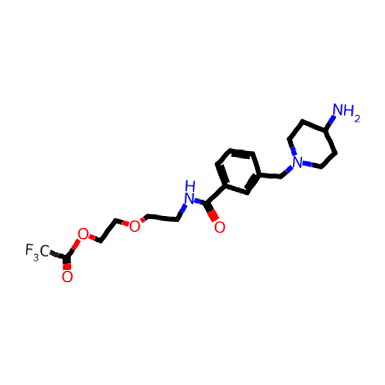 NC1CCN(Cc2cccc(C(=O)NCCOCCOC(=O)C(F)(F)F)c2)CC1